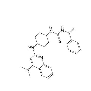 C[C@@H](NC(=S)NC1CCC(Nc2cc(N(C)C)c3ccccc3n2)CC1)c1ccccc1